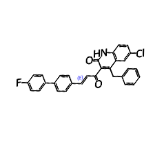 O=C(/C=C/c1ccc(-c2ccc(F)cc2)cc1)c1c(Cc2ccccc2)c2cc(Cl)ccc2[nH]c1=O